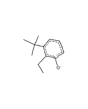 CCc1c(C(C)(C)C)ccc[n+]1[O-]